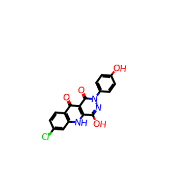 O=c1c2ccc(Cl)cc2[nH]c2c(O)nn(-c3ccc(O)cc3)c(=O)c12